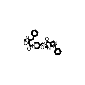 O=C(c1ocnc1Cc1ccccc1)N1CCC(O)(Cn2cnc3c(cnn3-c3ccccc3)c2=O)CC1